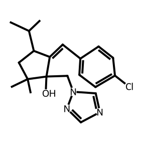 CC(C)C1CC(C)(C)C(O)(Cn2cncn2)C1=Cc1ccc(Cl)cc1